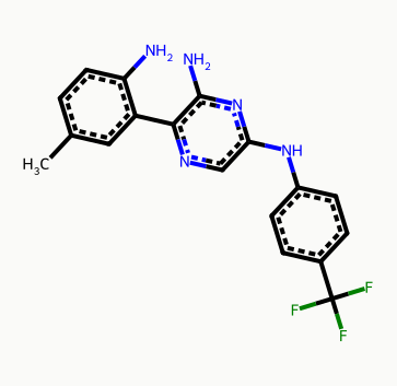 Cc1ccc(N)c(-c2ncc(Nc3ccc(C(F)(F)F)cc3)nc2N)c1